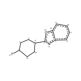 FC1CCN(c2nc3ccccc3o2)CC1